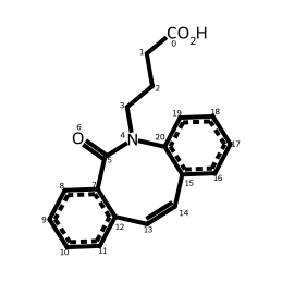 O=C(O)CCCN1C(=O)c2ccccc2C=Cc2ccccc21